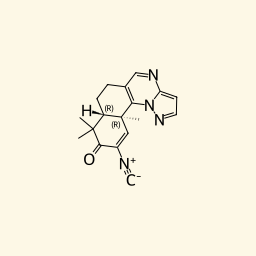 [C-]#[N+]C1=C[C@]2(C)c3c(cnc4ccnn34)CC[C@H]2C(C)(C)C1=O